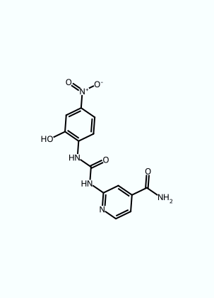 NC(=O)c1ccnc(NC(=O)Nc2ccc([N+](=O)[O-])cc2O)c1